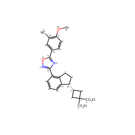 CCOC(=O)C1(C(=O)OCC)CC([C@H]2CCc3c(-c4noc(-c5ccc(OC(C)C)c(C#N)c5)n4)cccc32)C1